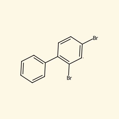 Brc1[c]c(Br)c(-c2ccccc2)cc1